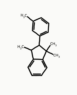 Cc1cccc(C2C(C)c3ccccc3C2(C)C)c1